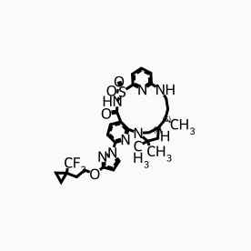 C[C@H]1CCNc2cccc(n2)S(=O)(=O)NC(=O)c2ccc(-n3ccc(OCCC4(C(F)(F)F)CC4)n3)nc2N2C[C@@H]1CC2(C)C